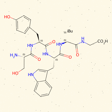 CC[C@H](C)[C@H](NC(=O)[C@H](Cc1c[nH]c2ccccc12)NC(=O)[C@H](Cc1ccc(O)cc1)NC(=O)[C@@H](N)CO)C(=O)NCC(=O)O